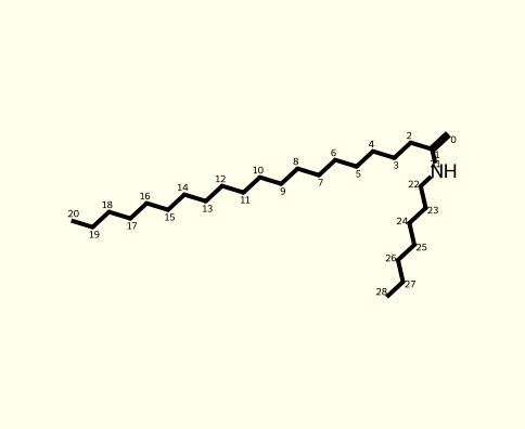 C=C(CCCCCCCCCCCCCCCCCCC)NCCCCCCC